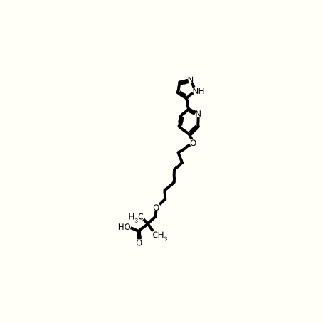 CC(C)(COCCCCCCOc1ccc(-c2ccn[nH]2)nc1)C(=O)O